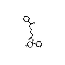 O=C(CCCCC(=O)c1ccccc1)OC1(c2ccccc2)CCNCC1